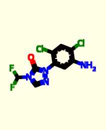 Nc1cc(-n2ncn(C(F)F)c2=O)c(Cl)cc1Cl